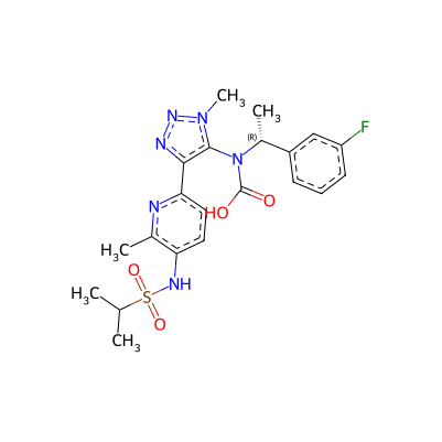 Cc1nc(-c2nnn(C)c2N(C(=O)O)[C@H](C)c2cccc(F)c2)ccc1NS(=O)(=O)C(C)C